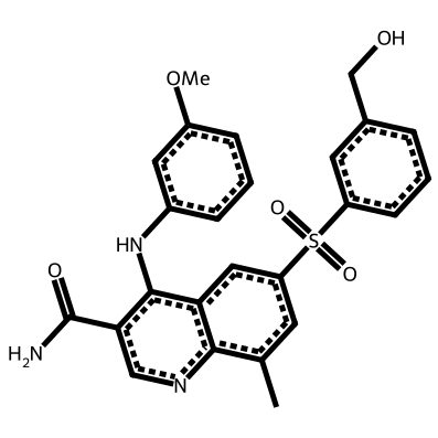 COc1cccc(Nc2c(C(N)=O)cnc3c(C)cc(S(=O)(=O)c4cccc(CO)c4)cc23)c1